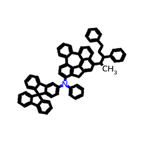 CC(c1cc2c3c4c(cccc14)-c1ccccc1-c1ccc(N(c4ccccc4)c4ccc5c(c4)-c4ccccc4C54c5ccccc5-c5ccccc54)c(c1-3)C2)C(CCc1ccccc1)c1ccccc1